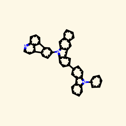 c1ccc(-n2c3ccccc3c3cc(-c4ccc5c(c4)c4cc6ccccc6cc4n5-c4ccc5c(c4)-c4cccc6nccc-5c46)ccc32)cc1